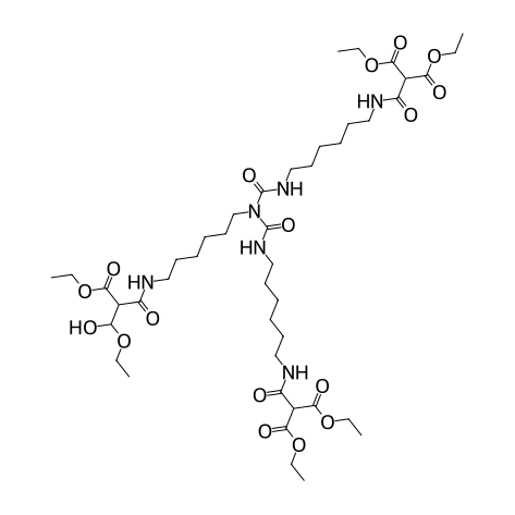 CCOC(=O)C(C(=O)NCCCCCCNC(=O)N(CCCCCCNC(=O)C(C(=O)OCC)C(O)OCC)C(=O)NCCCCCCNC(=O)C(C(=O)OCC)C(=O)OCC)C(=O)OCC